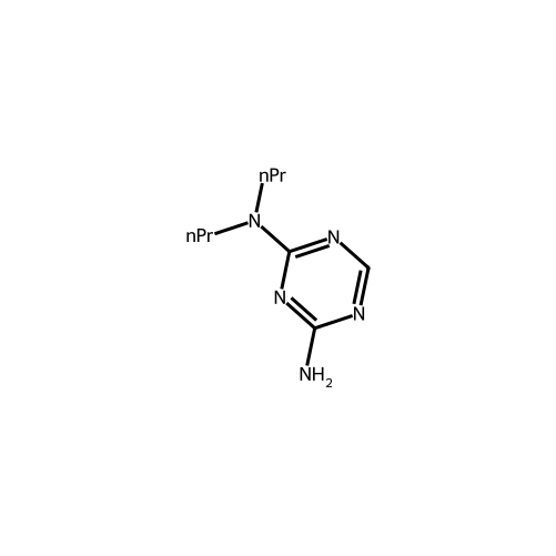 CCCN(CCC)c1ncnc(N)n1